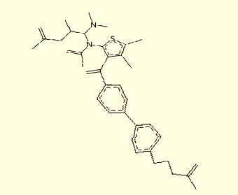 C=C(C)CCCc1ccc(-c2ccc(C(=C)c3c(N(C(=C)C)C(C(C)CC(=C)C)N(C)C)sc(C)c3C)cc2)cc1